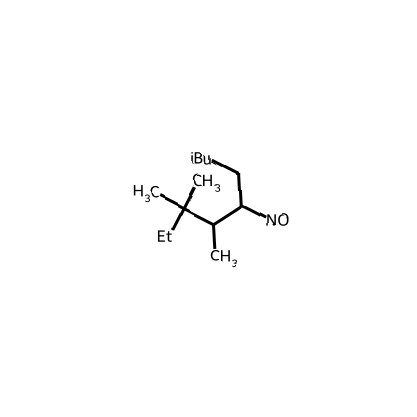 CCC(C)CC(N=O)C(C)C(C)(C)CC